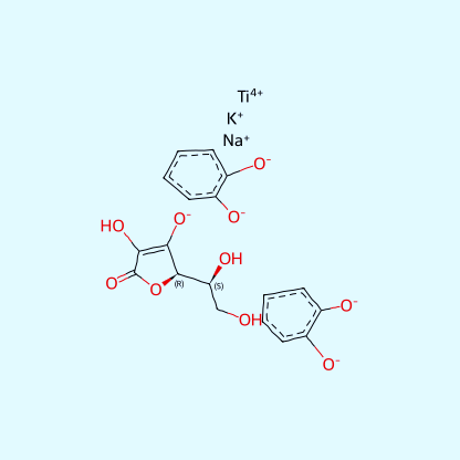 O=C1O[C@H]([C@@H](O)CO)C([O-])=C1O.[K+].[Na+].[O-]c1ccccc1[O-].[O-]c1ccccc1[O-].[Ti+4]